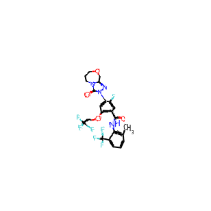 Cc1cccc(C(F)(F)F)c1NC(=O)c1cc(F)c(-n2nc3n(c2=O)CCCOC3)cc1OCC(F)(F)F